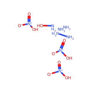 N.N.NN.NO.O=[N+]([O-])O.O=[N+]([O-])O.O=[N+]([O-])O